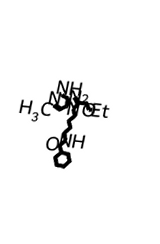 CCOCc1nc2c(N)nc(C)cc2n1CCCCNC(=O)C1CCCCC1